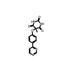 CC1(Oc2ccc(-c3ccncn3)cc2)C(=O)NC(=O)NC1=O